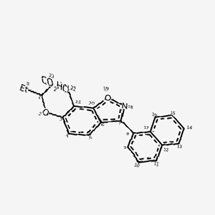 CCC(Oc1ccc2c(-c3cccc4ccccc34)noc2c1Cl)C(=O)O